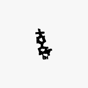 CC(C)(C)c1ccc(N2CC[C@@H](O)C3(CC3)C2)nn1